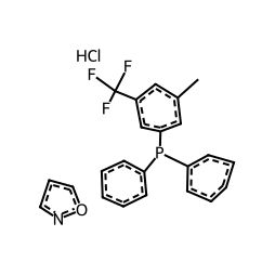 Cc1cc(P(c2ccccc2)c2ccccc2)cc(C(F)(F)F)c1.Cl.c1cnoc1